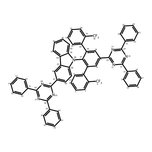 FC(F)(F)c1ccccc1-c1cc(-c2nc(-c3ccccc3)nc(-c3ccccc3)n2)cc(-c2ccccc2C(F)(F)F)c1-n1c2ccccc2c2cc(-c3nc(-c4ccccc4)nc(-c4ccccc4)n3)ccc21